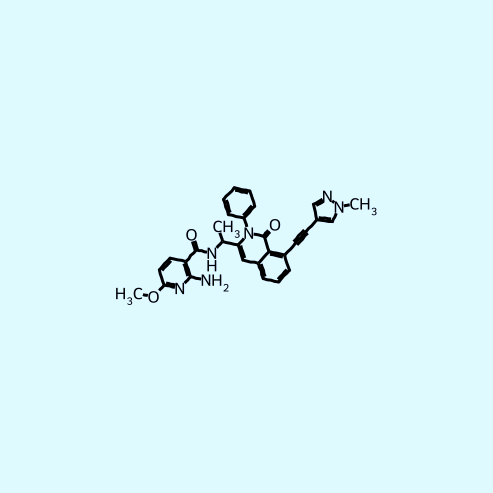 COc1ccc(C(=O)NC(C)c2cc3cccc(C#Cc4cnn(C)c4)c3c(=O)n2-c2ccccc2)c(N)n1